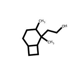 CC1CCC2CCC2C1(C)CCO